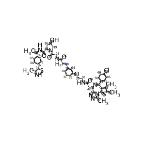 Cc1ncsc1-c1ccc([C@H](C)NC(=O)[C@@H]2C[C@@H](O)CN2C(=O)CNC(=O)/C=C/c2cccc(OCCNC(=O)C[C@@H]3N=C(c4ccc(Cl)cc4)c4c(sc(C)c4C)-n4c(C)nnc43)c2)cc1